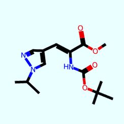 COC(=O)C(=Cc1cnn(C(C)C)c1)NC(=O)OC(C)(C)C